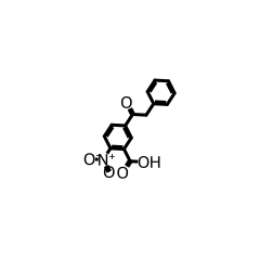 O=C(Cc1ccccc1)c1ccc([N+](=O)[O-])c(C(=O)O)c1